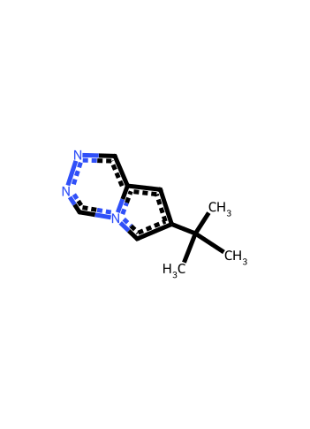 CC(C)(C)c1cc2cnncn2c1